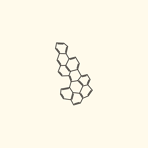 c1ccc2c(c1)cc1ccc3c4c(ccc2c14)c1ccc2ccc4ccc5cccc6c5c4c2c1c63